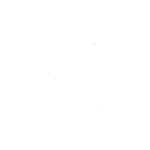 COc1ccc(-c2c(C)noc2-c2ccc(OC)cc2O)cc1